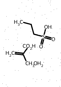 C=C(C)C(=O)O.CCCS(=O)(=O)O.O